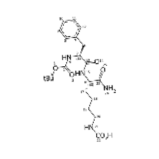 CC(C)(C)OC(=O)N[C@@H](Cc1ccccc1)C(=O)N[C@@H](CCCCNC(=O)O)C(N)=O